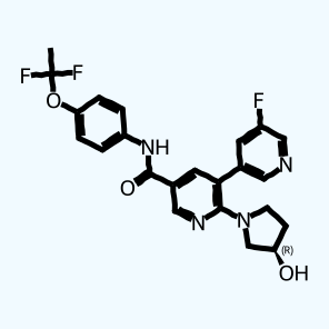 CC(F)(F)Oc1ccc(NC(=O)c2cnc(N3CC[C@@H](O)C3)c(-c3cncc(F)c3)c2)cc1